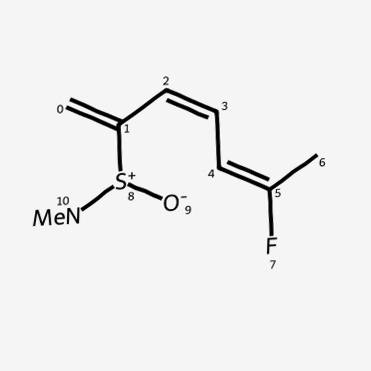 C=C(/C=C\C=C(/C)F)[S+]([O-])NC